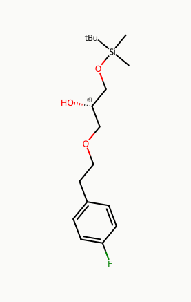 CC(C)(C)[Si](C)(C)OC[C@@H](O)COCCc1ccc(F)cc1